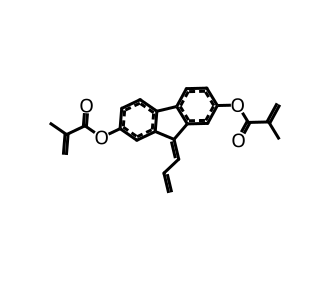 C=CC=C1c2cc(OC(=O)C(=C)C)ccc2-c2ccc(OC(=O)C(=C)C)cc21